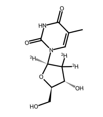 [2H]C1([2H])[C@H](O)[C@@H](CO)O[C@@]1([2H])n1cc(C)c(=O)[nH]c1=O